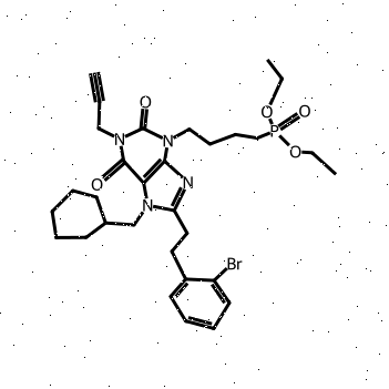 C#CCn1c(=O)c2c(nc(CCc3ccccc3Br)n2CC2CCCCC2)n(CCCCP(=O)(OCC)OCC)c1=O